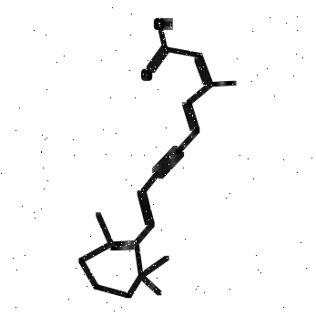 CC1=C(/C=C/C#C/C=C/C(C)=C\C(=O)O)C(C)(C)CCC1